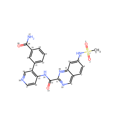 CS(=O)(=O)Nc1ccc2cnc(C(=O)Nc3ccncc3-c3cccc(C(N)=O)c3)nc2c1